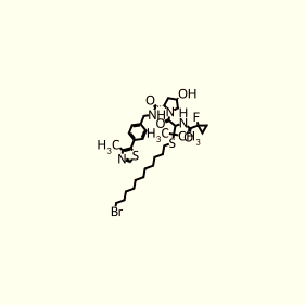 Cc1ncsc1-c1ccc(CNC(=O)[C@@H]2C[C@@H](O)CN2C(=O)C(NC(=O)C2(F)CC2)C(C)(C)SCCCCCCCCCCCBr)cc1